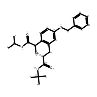 CC(C)OC(=O)C(N)c1ccc(OCc2ccccc2)cc1CCC(=O)OC(C)(C)C